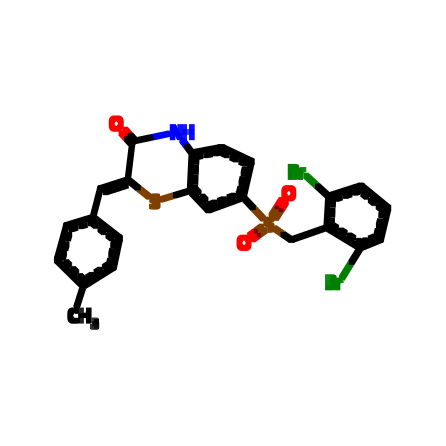 Cc1ccc(C=C2Sc3cc(S(=O)(=O)Cc4c(Br)cccc4Br)ccc3NC2=O)cc1